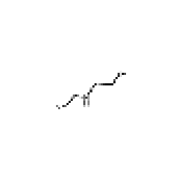 CCCCNCCC(C)C